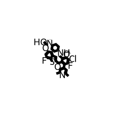 COc1c(Cl)c(F)c(-c2cc(C)nc(C)c2)c(C(=O)c2cc3cccc(F)c3s2)c1CNC1CCC(N(C)C(=O)O)CC1